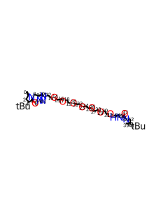 C=C1CC(C(C)(C)C)C(=O)N1Cc1cn(CCOCCOCCOCCOCCOCCOCCOCCNC(=O)N2CC(C(C)(C)C)C2)nn1